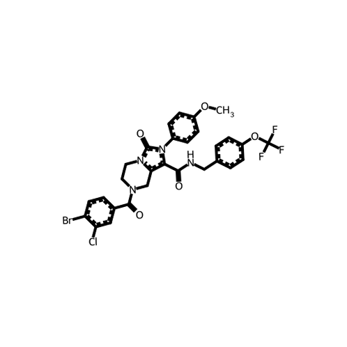 COc1ccc(-n2c(C(=O)NCc3ccc(OC(F)(F)F)cc3)c3n(c2=O)CCN(C(=O)c2ccc(Br)c(Cl)c2)C3)cc1